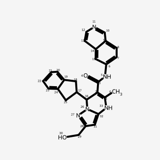 CC1=C(C(=O)Nc2ccc3cnccc3c2)C(C2Cc3ccccc3C2)n2nc(CO)cc2N1